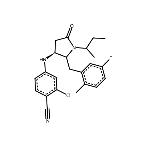 CCC(C)N1C(=O)C[C@H](Nc2ccc(C#N)c(Cl)c2)C1Cc1cc(F)ccc1C